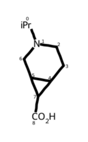 CC(C)N1CCC2C(C1)C2C(=O)O